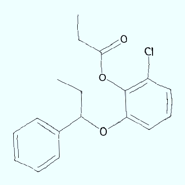 CCC(=O)Oc1c(Cl)cccc1OC(CC)c1ccccc1